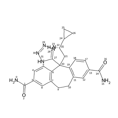 NC(=O)c1ccc2c(c1)CCc1cc(C(N)=O)ccc1C2(C[C@H](N)C1CC1)c1nnn[nH]1